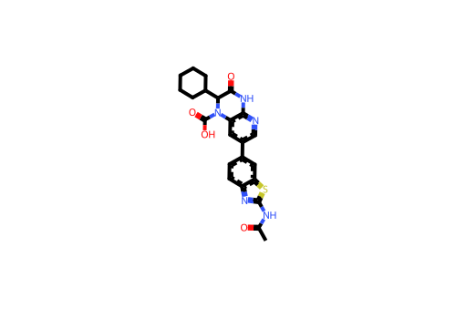 CC(=O)Nc1nc2ccc(-c3cnc4c(c3)N(C(=O)O)C(C3CCCCC3)C(=O)N4)cc2s1